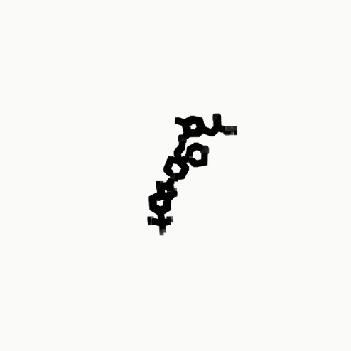 Cc1ccc(CC(=O)O)cc1OCCC1(N2CCOCC2)CCN(c2nc3ccc(C(F)(F)F)cc3s2)CC1